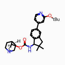 CC(C)(C)Oc1cc(-c2ccc3c(c2)CC(C)(C)C3NC(=O)O[C@H]2CN3CCC2CC3)ccn1